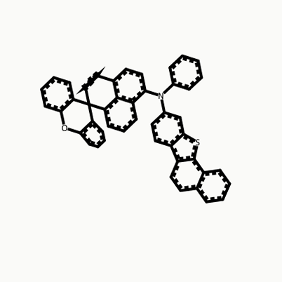 c1ccc(N(c2ccc3c(c2)sc2c4ccccc4ccc32)c2ccc3c4c(cccc24)C2(c4ccccc4Oc4ccccc42)c2ccccc2-3)cc1